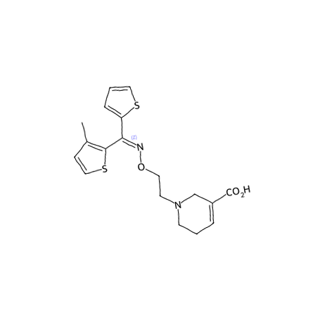 Cc1ccsc1/C(=N\OCCN1CCC=C(C(=O)O)C1)c1cccs1